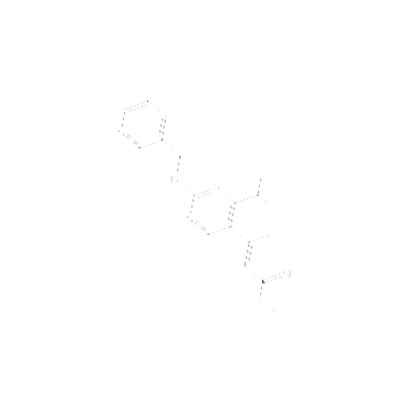 CC(=N)/C=C(\O)c1cnc(NCc2cccnc2)nc1C(C)C